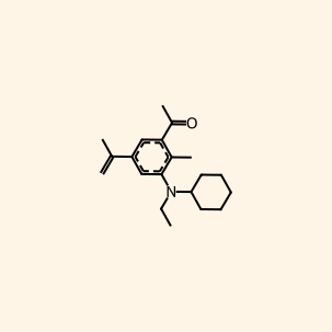 C=C(C)c1cc(C(C)=O)c(C)c(N(CC)C2CCCCC2)c1